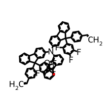 C=Cc1ccc(C2(c3cc(F)c(F)cc3F)c3ccccc3-c3ccc(N(c4ccc5c(c4)C(c4ccc(C=C)cc4)(c4cc(F)c(F)cc4F)c4ccccc4-5)c4cccc5c4oc4ccccc45)cc32)cc1